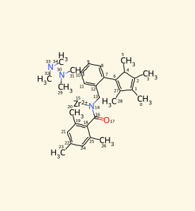 CC1=C(C)C(C)C(c2ccccc2C[N]([Zr+2])C(=O)c2c(C)cc(C)cc2C)=C1C.C[N-]C.C[N-]C